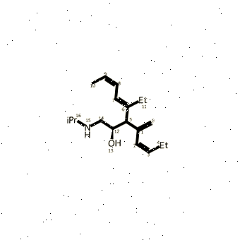 C=C(/C=C\CC)C(/C(=C/C=C\C)CC)[C@@H](O)CNC(C)C